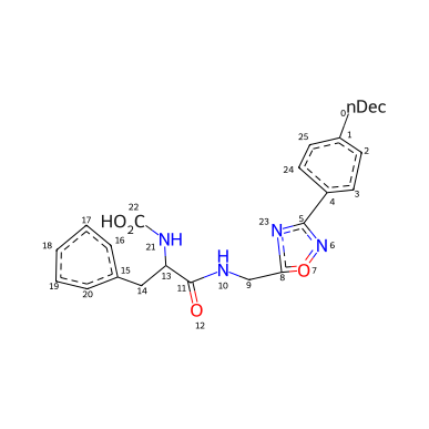 CCCCCCCCCCc1ccc(-c2noc(CNC(=O)C(Cc3ccccc3)NC(=O)O)n2)cc1